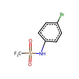 O=S(=O)(Nc1ccc(Br)cc1)C(F)(F)F